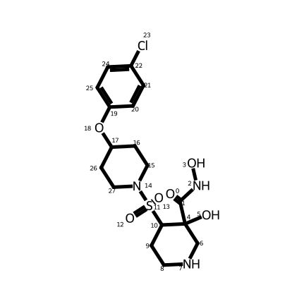 O=C(NO)C1(O)CNCCC1S(=O)(=O)N1CCC(Oc2ccc(Cl)cc2)CC1